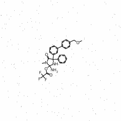 COCc1ccc(-c2cccc(C3(c4ccccc4)NC(N)(OC(=O)C(F)(F)F)N(C)C3=O)c2)cc1